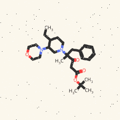 CCC1CCN(C(C)(Cc2ccccc2)C(=O)CC(=O)OC(C)(C)C)CC1N1CCOCC1